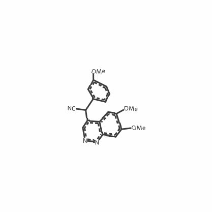 COc1cccc(C(C#N)c2cnnc3cc(OC)c(OC)cc23)c1